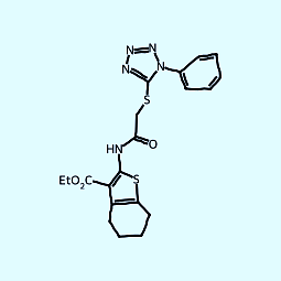 CCOC(=O)c1c(NC(=O)CSc2nnnn2-c2ccccc2)sc2c1CCCC2